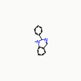 CN1c2ccccc2C=NC1c1ccccc1